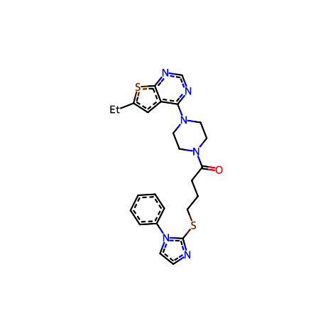 CCc1cc2c(N3CCN(C(=O)CCCSc4nccn4-c4ccccc4)CC3)ncnc2s1